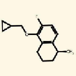 C[C@H]1CCCc2c1ccc(F)c2OCC1CC1